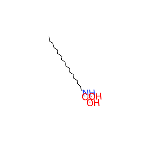 CCCCCCCCCCCCCCCCCCNOB(O)O